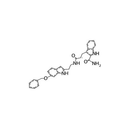 NC(=O)c1[nH]c2ccccc2c1C[CH]C(=O)NCCc1cc2ccc(OCc3ccccc3)cc2[nH]1